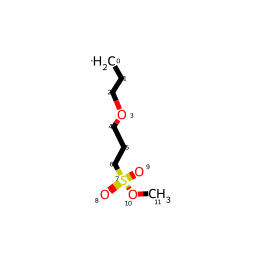 [CH2]CCOCCCS(=O)(=O)OC